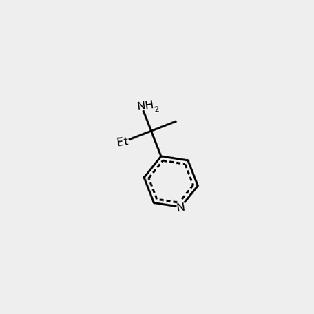 CCC(C)(N)c1ccncc1